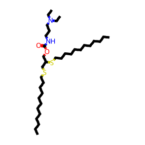 CCCCCCCCCCCCSCC(COC(=O)NCCCN(CC)CC)SCCCCCCCCCCCC